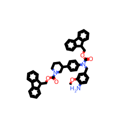 COc1cc(CN(C(=O)OCC2c3ccccc3-c3ccccc32)c2ccc(C3CCCN(C(=O)OCC4c5ccccc5-c5ccccc54)C3)cc2)ccc1N